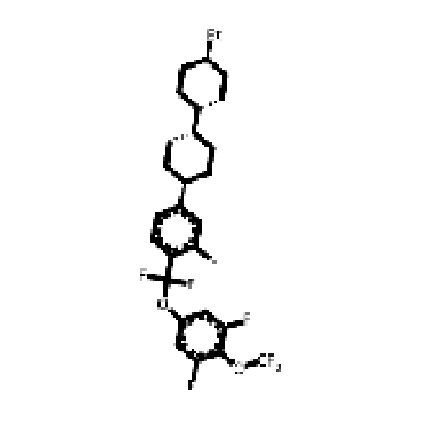 CC[C@H]1CC[C@H]([C@H]2CC[C@H](c3ccc(C(F)(F)Oc4cc(F)c(OC(F)(F)F)c(F)c4)c(F)c3)CC2)CC1